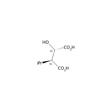 CC(C)[C@H](C(=O)O)[C@H](O)C(=O)O